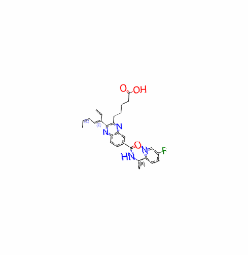 C=C/C(=C\C=C/C)c1nc2ccc(C(=O)N[C@H](C)c3ccc(F)cn3)cc2nc1CCCCC(=O)O